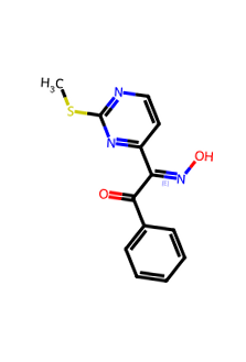 CSc1nccc(/C(=N\O)C(=O)c2ccccc2)n1